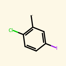 [CH2]c1cc(I)ccc1Cl